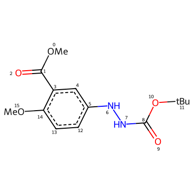 COC(=O)c1cc(NNC(=O)OC(C)(C)C)ccc1OC